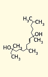 CCC(C)(O)CCCC(C)CC=CC(C)(O)CCCC(C)C